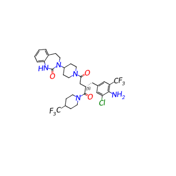 Nc1c(Cl)cc(C[C@@H](CC(=O)N2CCC(N3CCc4ccccc4NC3=O)CC2)C(=O)N2CCC(C(F)(F)F)CC2)cc1C(F)(F)F